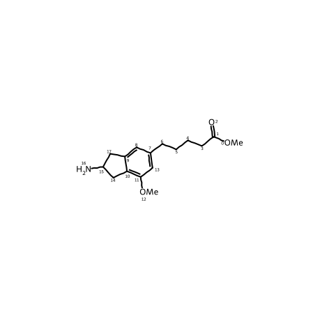 COC(=O)CCCCc1cc2c(c(OC)c1)CC(N)C2